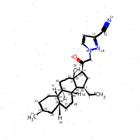 CC[C@@H]1C[C@H](C(=O)Cn2ccc(C#N)n2)[C@@]2(C)CC[C@@H]3[C@H]4CC[C@H](C)C[C@H]4CC[C@H]3C12